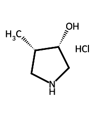 C[C@H]1CNC[C@H]1O.Cl